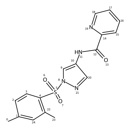 Cc1ccc(S(=O)(=O)n2cc(NC(=O)c3ccccn3)cn2)c(C)c1